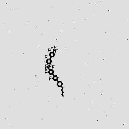 CCCCCC1CCC(c2ccc(-c3cc(F)c(C(F)(F)Oc4ccc(-c5ccc(C(F)(F)F)c(F)c5)c(F)c4)c(F)c3)c(F)c2)CC1